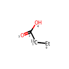 CC[13CH2]C(=O)O